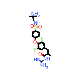 CC(=Cc1cc(F)c(Oc2ccc(S(=O)(=O)NCC(C)(C)N)cc2)c(F)c1)C(=O)NC(=N)N